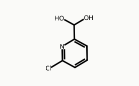 OC(O)c1cccc(Cl)n1